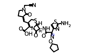 N#CCN1CCC(=CC2=C(C(=O)O)N3C(=O)[C@@H](NC(=O)/C(=N\OC4CCCC4)c4csc(N)n4)[C@H]3SC2)C1=O